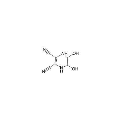 N#CC1=C(C#N)NC(O)C(O)N1